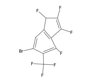 FC1=C(F)C(F)c2cc(Br)c(C(F)(F)F)c(F)c21